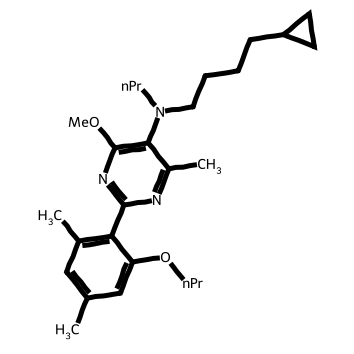 CCCOc1cc(C)cc(C)c1-c1nc(C)c(N(CCC)CCCCC2CC2)c(OC)n1